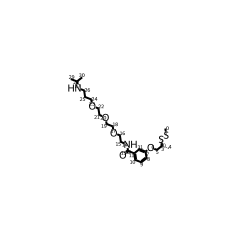 CSS[C@H](C)COc1cccc(C(=O)NCCOCCOCCOCCCNC(C)C)c1